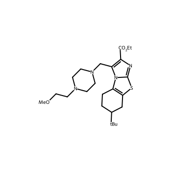 CCOC(=O)c1nc2sc3c(n2c1CN1CCN(CCOC)CC1)CCC(C(C)(C)C)C3